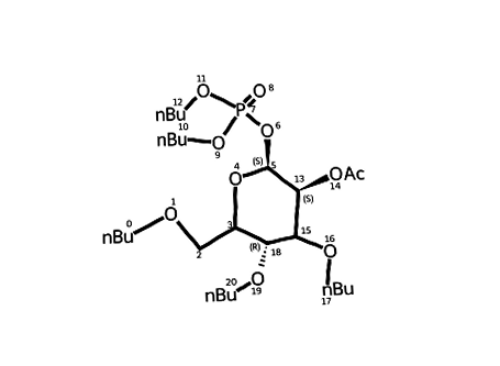 CCCCOCC1O[C@@H](OP(=O)(OCCCC)OCCCC)[C@@H](OC(C)=O)C(OCCCC)[C@@H]1OCCCC